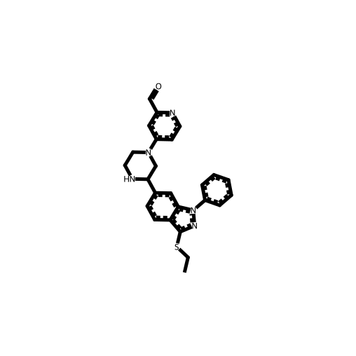 CCSc1nn(-c2ccccc2)c2cc(C3CN(c4ccnc(C=O)c4)CCN3)ccc12